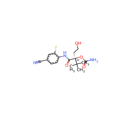 CC(C)(C)[C@](CCO)(OC(N)=O)C(=O)Nc1ccc(C#N)cc1F